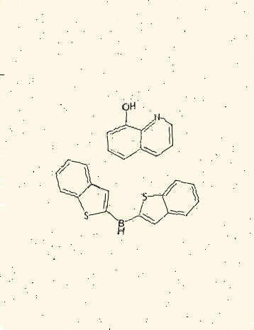 B(c1cc2ccccc2s1)c1cc2ccccc2s1.Oc1cccc2cccnc12